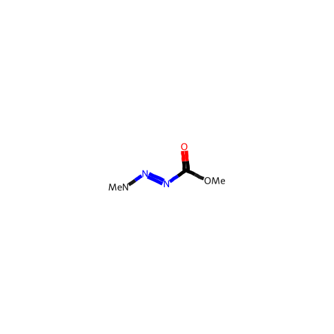 CNN=NC(=O)OC